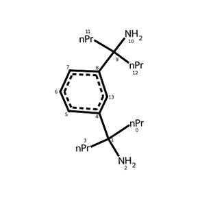 CCCC(N)(CCC)c1cccc(C(N)(CCC)CCC)c1